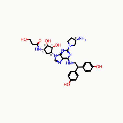 N[C@@H]1CCN(c2nc(NCC(c3ccc(O)cc3)c3ccc(O)cc3)c3ncn([C@@H]4C[C@H](NC(=O)CCO)[C@@H](O)[C@H]4O)c3n2)C1